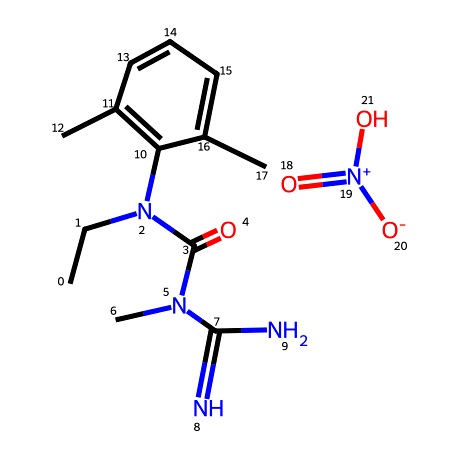 CCN(C(=O)N(C)C(=N)N)c1c(C)cccc1C.O=[N+]([O-])O